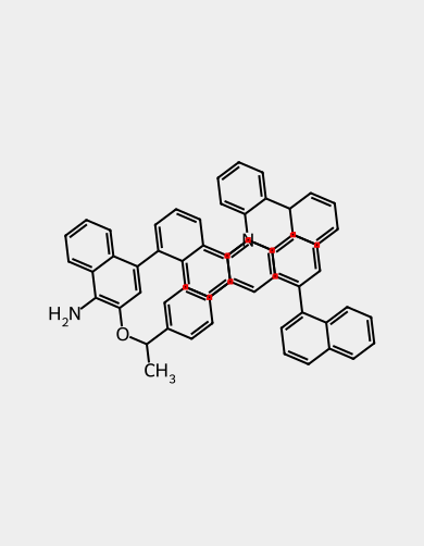 CC(Oc1cc(-c2cccc3c(N(c4cccc(-c5cccc6ccccc56)c4)c4ccccc4C4C=CC=CC4)cccc23)c2ccccc2c1N)c1ccc(-c2ccccc2)cc1